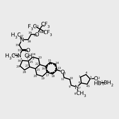 BBO[C@@H]1CCC(N(C)CCCOc2ccc3c(c2)CCC2C3CC[C@@]3(C)C2CC[C@@H]3N(C)C(=O)CN(C)CCOC(C(F)(F)F)(C(F)(F)F)C(F)(F)F)C1